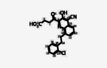 N#Cc1c(O)c(C(=O)CCC(=O)O)nc2c(CCc3ccccc3Cl)cccc12